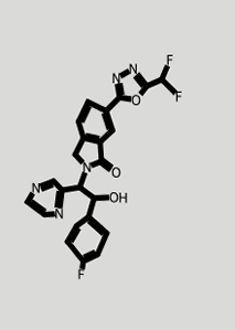 O=C1c2cc(-c3nnc(C(F)F)o3)ccc2CN1C(c1cnccn1)C(O)c1ccc(F)cc1